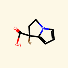 O=C(O)C1(Br)CCn2cccc21